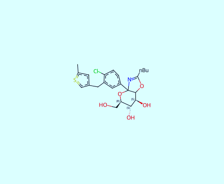 CCCCC1=NC2(c3ccc(Cl)c(Cc4csc(C)c4)c3)O[C@H](CO)[C@@H](O)[C@H](O)C2O1